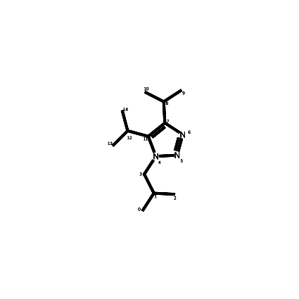 CC(C)Cn1nnc(C(C)C)c1C(C)C